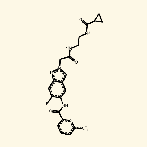 O=C(Cn1cc2cc(NC(=O)c3cccc(C(F)(F)F)n3)c(F)cc2n1)NCCNC(=O)C1CC1